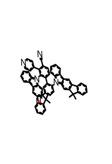 CC1(C)c2ccccc2-c2cc3c4ccccc4n(-c4ccc(C#N)cc4-c4ccc(C#N)c(-c5ccncc5)c4-n4c5ccccc5c5cc6c(cc54)C(C)(C)c4ccccc4-6)c3cc21